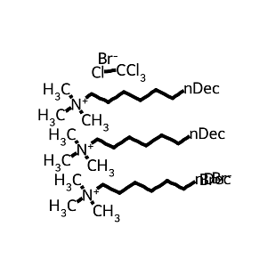 CCCCCCCCCCCCCCCC[N+](C)(C)C.CCCCCCCCCCCCCCCC[N+](C)(C)C.CCCCCCCCCCCCCCCC[N+](C)(C)C.ClC(Cl)(Cl)Cl.[Br-].[Br-].[Br-]